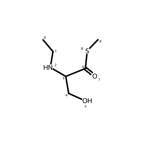 CCNC(CO)C(=O)SC